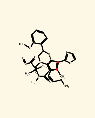 COc1ccccc1C(CN(C=O)c1sc(-c2ncco2)c(C)c1C(=O)N(C)C(C)(C)C(=O)N=O)O[C@H]1CCC(/C=C\CN)C1